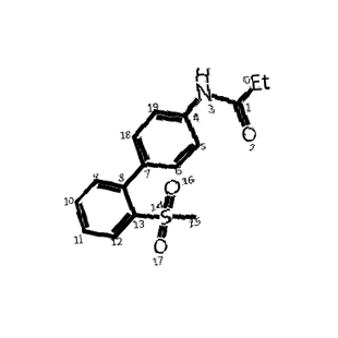 CCC(=O)Nc1ccc(-c2ccccc2S(C)(=O)=O)cc1